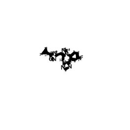 Fc1ccc2c(c1)-c1ncnn1Cc1c(-c3noc(C4CC4)n3)ncn1-2